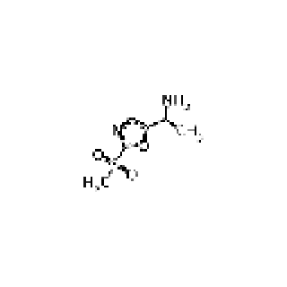 C[C@H](N)c1cnc(S(C)(=O)=O)o1